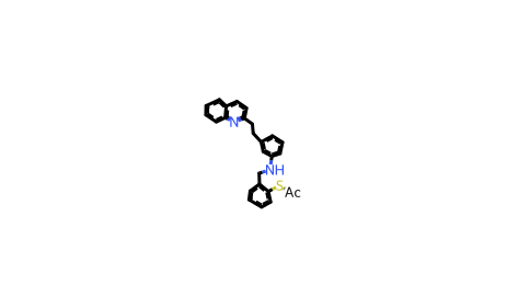 CC(=O)Sc1ccccc1CNc1cccc(CCc2ccc3ccccc3n2)c1